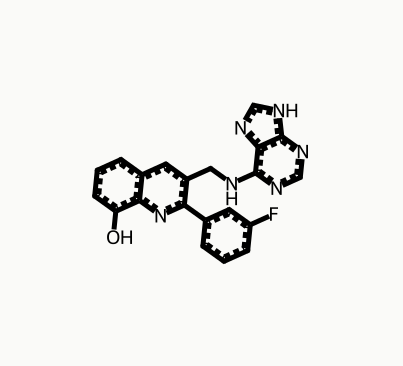 Oc1cccc2cc(CNc3ncnc4[nH]cnc34)c(-c3cccc(F)c3)nc12